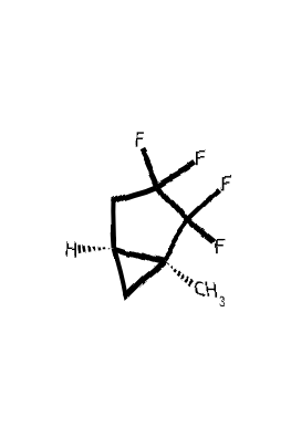 C[C@]12C[C@H]1CC(F)(F)C2(F)F